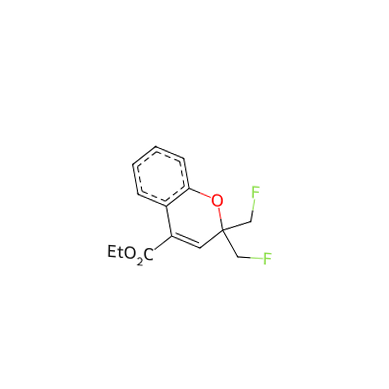 CCOC(=O)C1=CC(CF)(CF)Oc2ccccc21